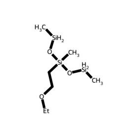 CCOCC[Si](C)(O[SiH2]C)O[SiH2]C